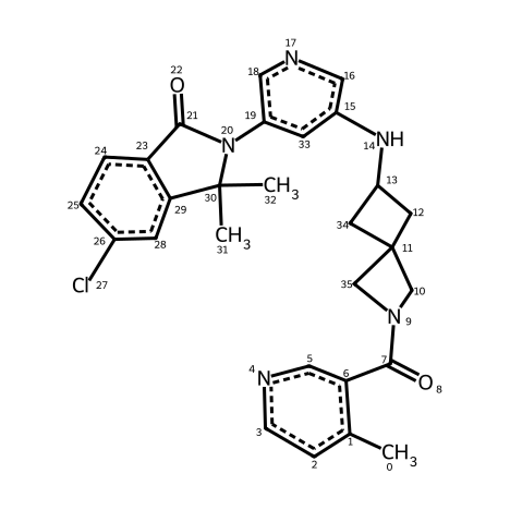 Cc1ccncc1C(=O)N1CC2(CC(Nc3cncc(N4C(=O)c5ccc(Cl)cc5C4(C)C)c3)C2)C1